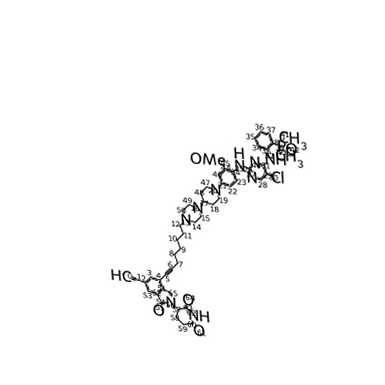 C#Cc1cc(C#CCCCCCCN2CCN(C3CCN(c4ccc(Nc5ncc(Cl)c(Nc6ccccc6P(C)(C)=O)n5)c(OC)c4)CC3)CC2)c2c(c1)C(=O)N(C1CCC(=O)NC1=O)C2